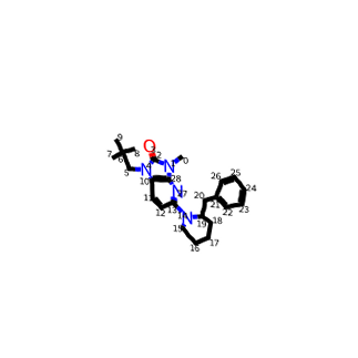 Cn1c(=O)n(CC(C)(C)C)c2ccc(N3CCCCC3Cc3ccccc3)nc21